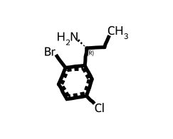 CC[C@@H](N)c1cc(Cl)ccc1Br